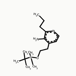 CCCc1nccc(CCO[Si](C)(C)C(C)(C)C)c1N